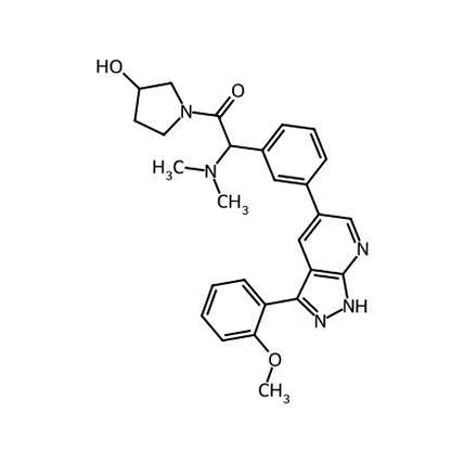 COc1ccccc1-c1n[nH]c2ncc(-c3cccc(C(C(=O)N4CCC(O)C4)N(C)C)c3)cc12